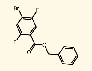 O=C(OCc1ccccc1)c1cc(F)c(Br)cc1F